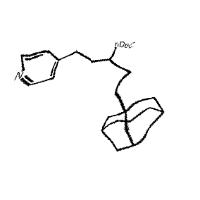 CCCCCCCCCCC(C[CH]c1ccncc1)CCC12CC3CC(CC(C3)C1)C2